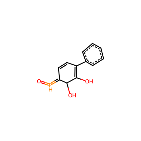 O=[PH]=C1C=CC(c2ccccc2)=C(O)C1O